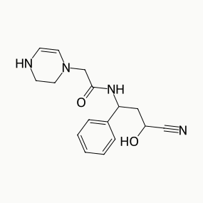 N#CC(O)CC(NC(=O)CN1C=CNCC1)c1ccccc1